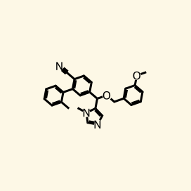 COc1cccc(COC(c2ccc(C#N)c(-c3ccccc3C)c2)c2cncn2C)c1